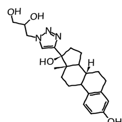 C[C@]12CCC3c4ccc(O)cc4CC[C@H]3C1CC[C@@]2(O)c1cn(CC(O)CO)nn1